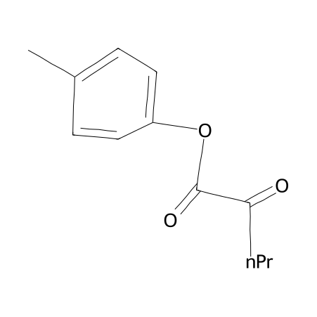 CCCC(=O)C(=O)Oc1ccc(C)cc1